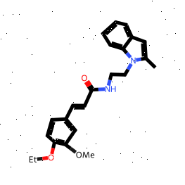 CCOc1ccc(/C=C/C(=O)NCCn2c(C)cc3ccccc32)cc1OC